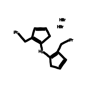 Br.Br.CC(C)CC1=[C]([Hf][C]2=C(CC(C)C)C=CC2)CC=C1